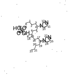 CCCCC(CCCC)n1ccnc1.CCCCC(CCCC)n1ccnc1.O=S(=O)(O)O